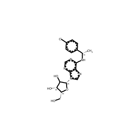 C[C@H](Nc1ncnc2c1ncn2[C@@H]1O[C@H](CO)[C@H](O)C1O)c1ccc(Cl)cc1